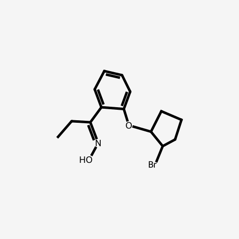 CCC(=NO)c1ccccc1OC1CCCC1Br